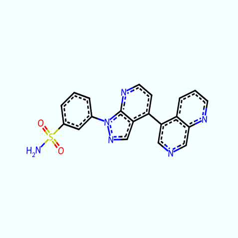 NS(=O)(=O)c1cccc(-n2ncc3c(-c4cncc5ncccc45)ccnc32)c1